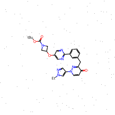 CCn1cc(-n2ccc(=O)c(Cc3cccc(-c4ncc(OC5CN(C(=O)OC(C)(C)C)C5)cn4)c3)n2)cn1